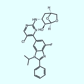 CC(C)n1c(-c2ccccc2)nc2c(F)cc(-c3nc(N[C@@H]4C[C@H]5CO[C@H](O5)[C@H]4O)ncc3Cl)cc21